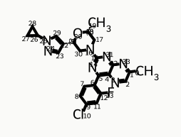 Cc1cnc2c(-c3ccc(Cl)cc3F)nc(N3C[C@@H](C)O[C@@H](c4cnn(C5CC5)c4)C3)nc2n1